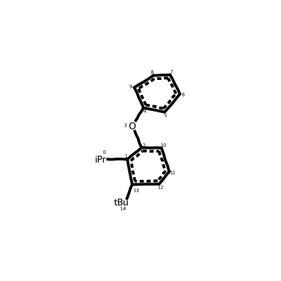 CC(C)c1c(Oc2ccccc2)cccc1C(C)(C)C